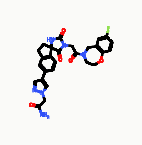 NC(=O)Cn1cc(-c2ccc3c(c2)CCC32NC(=O)N(CC(=O)N3CCOc4ccc(F)cc4C3)C2=O)cn1